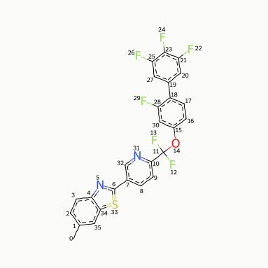 Cc1ccc2nc(-c3ccc(C(F)(F)Oc4ccc(-c5cc(F)c(F)c(F)c5)c(F)c4)nc3)sc2c1